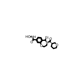 CCC1c2ccc(C(=O)NO)cc2OCCN1C(=O)[C@@H]1CCCOC1